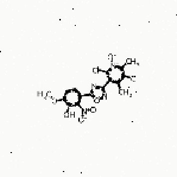 COc1ccc(-c2nc(-c3c(C)c(Cl)c(C)[n+]([O-])c3Cl)no2)c([N+](=O)[O-])c1O